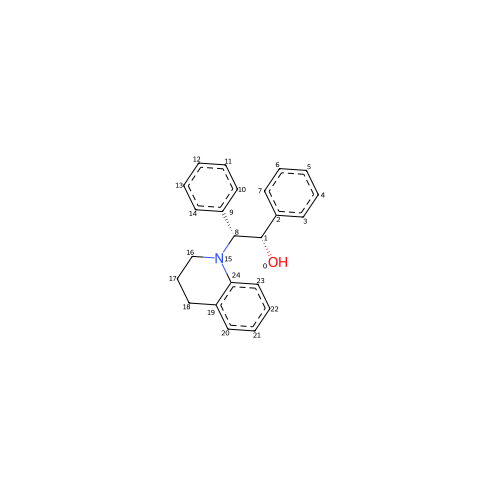 O[C@@H](c1ccccc1)[C@@H](c1ccccc1)N1CCCc2ccccc21